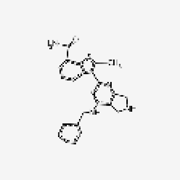 Cc1sc2c(C(N)=O)cccc2c1-c1nc2c(c(NCc3ccccc3)n1)CNC2